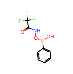 O=C(NOB(O)c1ccccc1)C(F)(F)F